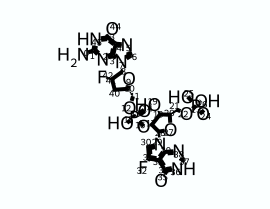 Nc1nc2c(ncn2[C@@H]2O[C@H](COP(=O)(O)O[C@@H]3[C@H](O)[C@@H](COP(=O)(O)O)O[C@H]3n3cc(F)c4c(=O)[nH]cnc43)C[C@H]2F)c(=O)[nH]1